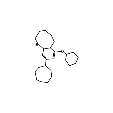 C1=C(C2CCCCCCC2)C=C(OC2CCCCC2)C2CCCCCNC12